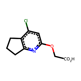 O=C(O)COc1cc(Cl)c2c(n1)CCC2